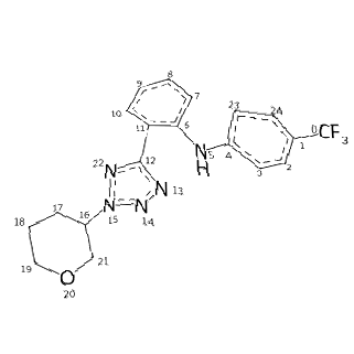 FC(F)(F)c1ccc(Nc2ccccc2-c2nnn(C3CCCOC3)n2)cc1